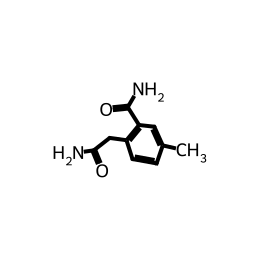 Cc1ccc(CC(N)=O)c(C(N)=O)c1